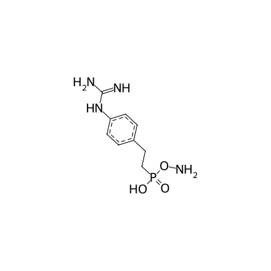 N=C(N)Nc1ccc(CCP(=O)(O)ON)cc1